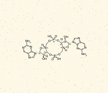 Nc1ncc2ncn([C@@H]3O[C@@H]4CO[P@@](=O)(S)O[C@H]5[C@@H](O)[C@H](n6cnc7cnc(N)nc76)O[C@@H]5CO[P@@](=O)(S)O[C@H]4[C@H]3O)c2n1